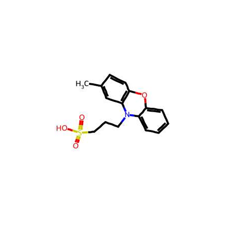 Cc1ccc2c(c1)N(CCCS(=O)(=O)O)c1ccccc1O2